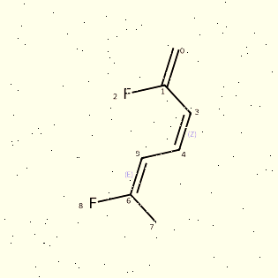 C=C(F)/C=C\C=C(/C)F